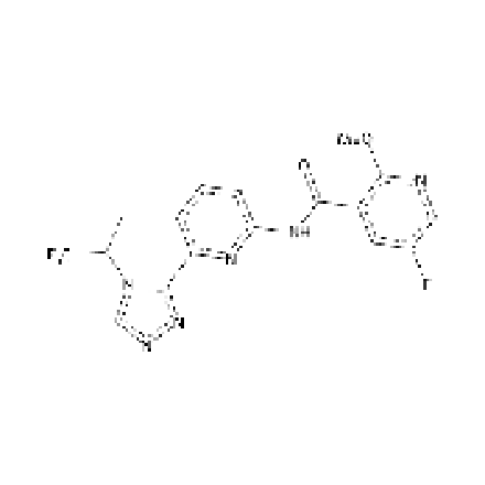 COc1ncc(F)cc1C(=O)Nc1cccc(-c2nncn2C(C)C(F)(F)F)n1